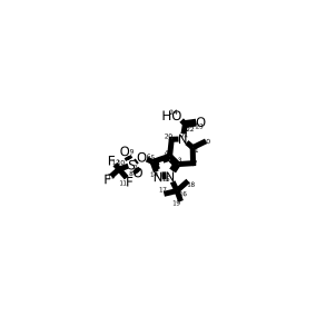 CC1Cc2c(c(OS(=O)(=O)C(F)(F)F)nn2C(C)(C)C)CN1C(=O)O